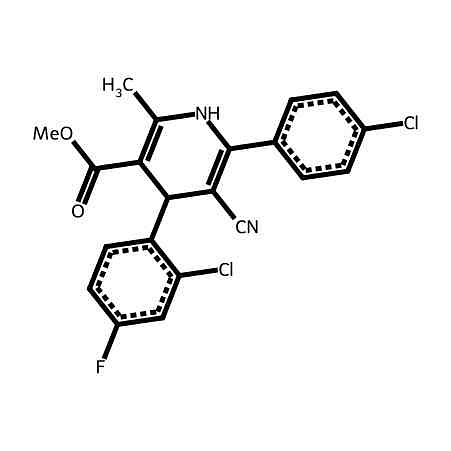 COC(=O)C1=C(C)NC(c2ccc(Cl)cc2)=C(C#N)C1c1ccc(F)cc1Cl